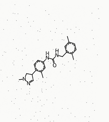 Cc1ccc(C)c(CNC(=O)Nc2ccc(C3C=NN(C)C3)c(C)c2)c1